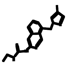 CCNC(=O)Nc1cc2cccc(Cn3cc(C)cn3)c2cn1